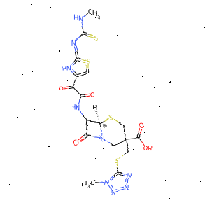 CNC(=S)N=c1[nH]c(C(=O)C(=O)NC2C(=O)N3CC(CSc4nnnn4C)(C(=O)O)CS[C@H]23)cs1